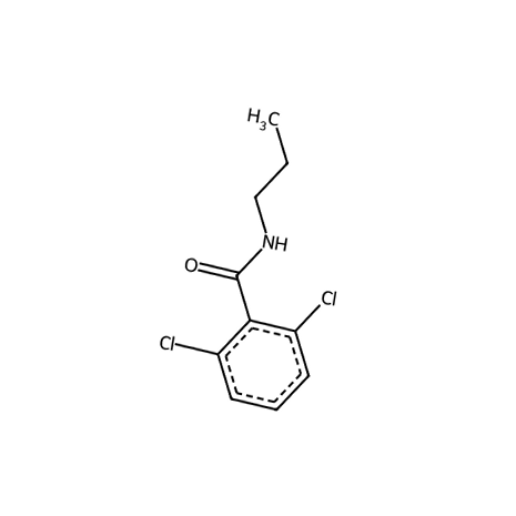 CCCNC(=O)c1c(Cl)cccc1Cl